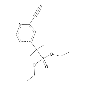 CCOP(=O)(OCC)C(C)(C)c1ccnc(C#N)c1